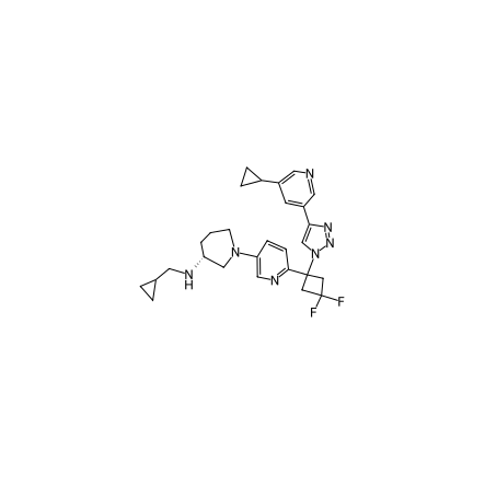 FC1(F)CC(c2ccc(N3CCC[C@@H](NCC4CC4)C3)cn2)(n2cc(-c3cncc(C4CC4)c3)nn2)C1